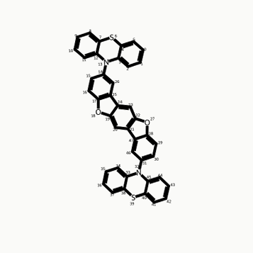 c1ccc2c(c1)Sc1ccccc1N2c1ccc2oc3cc4c(cc3c2c1)oc1ccc(N2c3ccccc3Sc3ccccc32)cc14